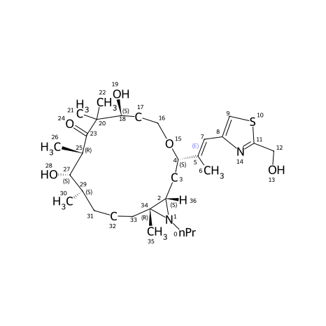 CCCN1[C@H]2C[C@@H](/C(C)=C/c3csc(CO)n3)OCC[C@H](O)C(C)(C)C(=O)[C@H](C)[C@@H](O)[C@@H](C)CCC[C@]21C